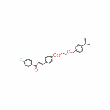 C=C(C)c1ccc(COCCOOc2ccc(/C=C/C(=O)c3ccc(F)cc3)cc2)cc1